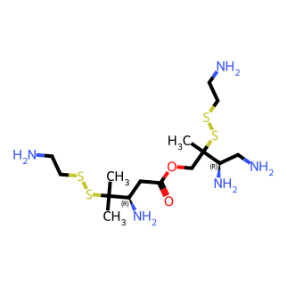 CC(C)(SSCCN)[C@H](N)CC(=O)OCC(C)(SSCCN)[C@H](N)CN